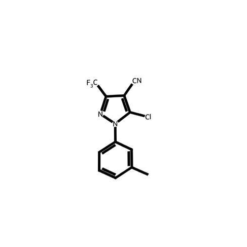 Cc1cccc(-n2nc(C(F)(F)F)c(C#N)c2Cl)c1